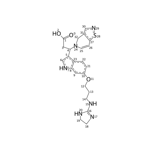 O=C(O)CC(c1c[nH]c2cc(OCCCNC3=NCCN3)ccc12)N1C=Cc2sncc2C1